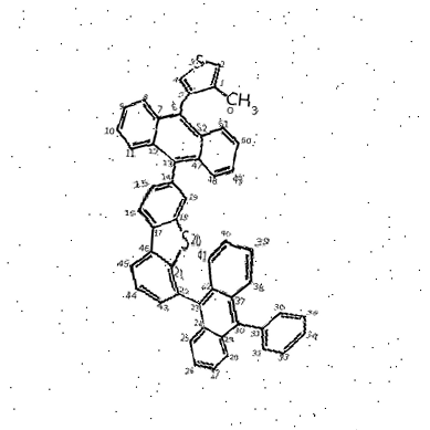 Cc1cscc1-c1c2ccccc2c(-c2ccc3c(c2)sc2c(-c4c5ccccc5c(-c5ccccc5)c5ccccc45)cccc23)c2ccccc12